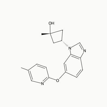 Cc1ccc(Oc2ccc3ncn([C@H]4C[C@@](C)(O)C4)c3c2)nc1